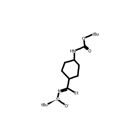 CC/C(=N\[S@@+]([O-])C(C)(C)C)C1CCC(NC(=O)OC(C)(C)C)CC1